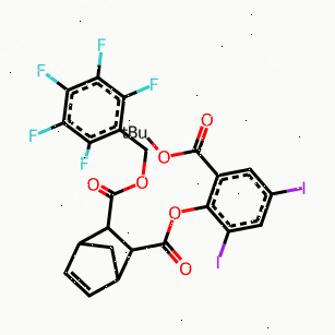 CC(C)(C)OC(=O)c1cc(I)cc(I)c1OC(=O)C1C2C=CC(C2)C1C(=O)OCc1c(F)c(F)c(F)c(F)c1F